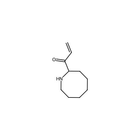 C=CC(=O)C1CCCCCCN1